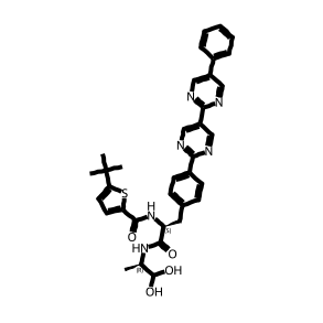 C[C@@H](NC(=O)[C@H](Cc1ccc(-c2ncc(-c3ncc(-c4ccccc4)cn3)cn2)cc1)NC(=O)c1ccc(C(C)(C)C)s1)C(O)O